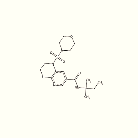 CCC(C)(C)NC(=O)c1cnc2c(c1)N(S(=O)(=O)N1CCOCC1)CCO2